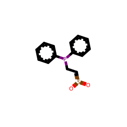 O=S(=O)=CCP(c1ccccc1)c1ccccc1